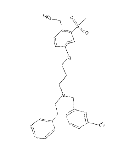 CS(=O)(=O)c1cc(OCCCN(CCc2ccccc2)Cc2cccc(C(F)(F)F)c2)ccc1CO